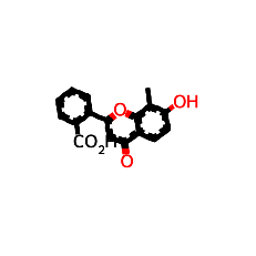 Cc1c(O)ccc2c(=O)cc(-c3ccccc3C(=O)O)oc12